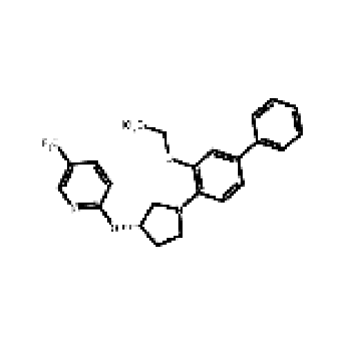 O=C(O)COc1cc(-c2ccccc2)ccc1N1CC[C@H](Oc2ccc(C(F)(F)F)cn2)C1